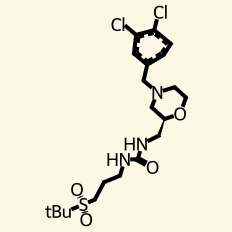 CC(C)(C)S(=O)(=O)CCCNC(=O)NC[C@H]1CN(Cc2ccc(Cl)c(Cl)c2)CCO1